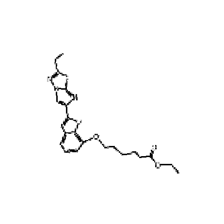 CCOC(=O)CCCCCOc1cccc2cc(-c3cn4nc(CC)sc4n3)oc12